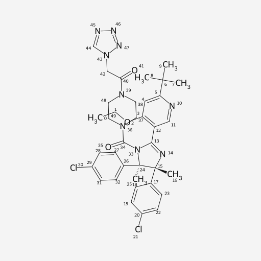 CCOc1cc(C(C)(C)C)ncc1C1=N[C@](C)(c2ccc(Cl)cc2)[C@@](C)(c2ccc(Cl)cc2)N1C(=O)N1CCN(C(=O)Cn2cnnn2)CC1